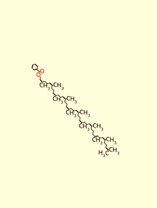 CC(C)=CCCC(C)=CCC=C(C)CCCC(C)=CCCC(C)=CCCC(C)=CCCC(C)=CCCC(C)=CCCC(C)=CCCC(C)=CCCC(C)=CCOC(=O)c1ccccc1